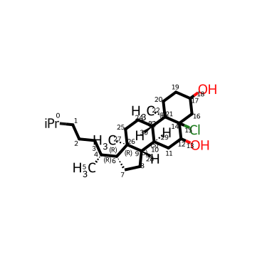 CC(C)CCC[C@@H](C)[C@H]1CC[C@H]2[C@@H]3CC(O)C4(Cl)CC(O)CC[C@]4(C)[C@H]3CC[C@]12C